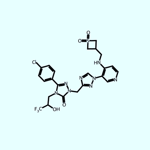 O=c1n(Cc2ncn(-c3cnccc3NCC3CS(=O)(=O)C3)n2)nc(-c2ccc(Cl)cc2)n1CC(O)C(F)(F)F